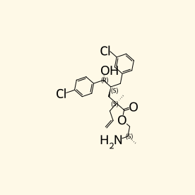 C=CC[C@@](C)(C[C@H](Cc1cccc(Cl)c1)[C@@H](O)c1ccc(Cl)cc1)C(=O)OC[C@H](C)N